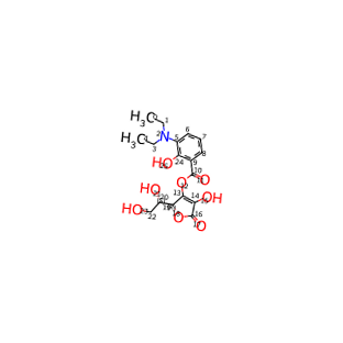 CCN(CC)c1cccc(C(=O)OC2=C(O)C(=O)O[C@@H]2[C@@H](O)CO)c1O